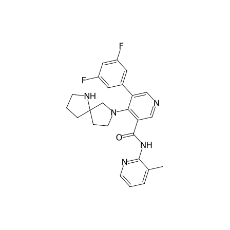 Cc1cccnc1NC(=O)c1cncc(-c2cc(F)cc(F)c2)c1N1CCC2(CCCN2)C1